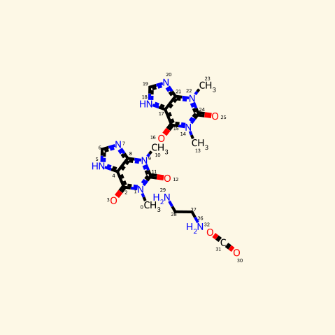 Cn1c(=O)c2[nH]cnc2n(C)c1=O.Cn1c(=O)c2[nH]cnc2n(C)c1=O.NCCN.O=C=O